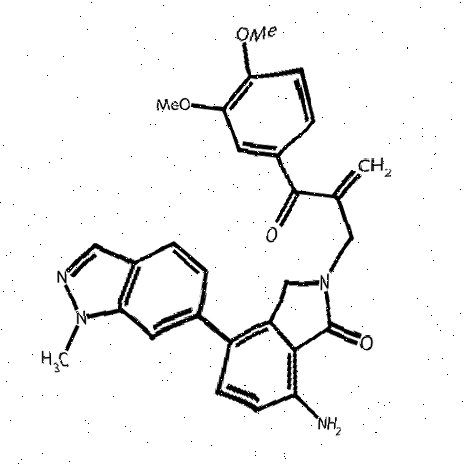 C=C(CN1Cc2c(-c3ccc4cnn(C)c4c3)ccc(N)c2C1=O)C(=O)c1ccc(OC)c(OC)c1